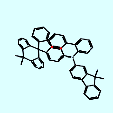 CC1(C)c2ccccc2-c2ccc(N(c3ccc4c(c3)-c3ccccc3C43c4ccccc4C(C)(C)c4ccccc43)c3ccccc3-c3ccccc3)cc21